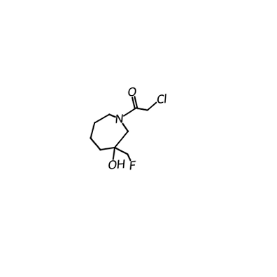 O=C(CCl)N1CCCCC(O)(CF)C1